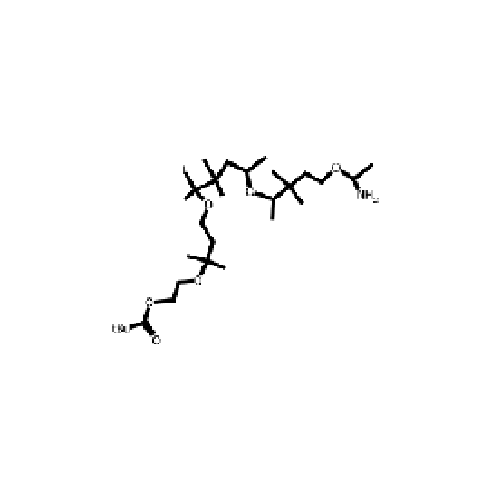 CC(N)OCCC(C)(C)C(C)OC(C)CC(C)(C)C(C)(I)OCCC(C)(C)OCCOC(=O)C(C)(C)C